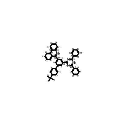 CC(C)(C)c1ccc(-c2cc(-c3nc(-c4ccccc4)nc(-c4ccccc4)n3)cc(-c3nc4ccccc4c4ccccc34)c2)cc1